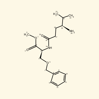 COC(=O)[C@H](COCc1ccccc1)NC(=O)CC[C@H](N)C(C)C